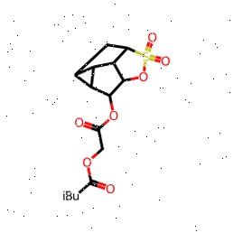 CCC(C)C(=O)OCC(=O)OC1C2OS(=O)(=O)C3CC4C1C4C23